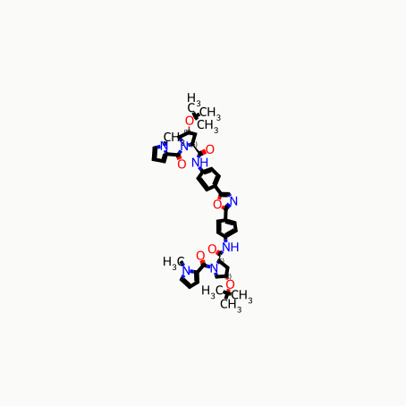 Cn1cccc1C(=O)N1C[C@H](OC(C)(C)C)C[C@H]1C(=O)Nc1ccc(-c2cnc(-c3ccc(NC(=O)[C@@H]4C[C@@H](OC(C)(C)C)CN4C(=O)c4cccn4C)cc3)o2)cc1